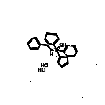 Cl.Cl.[SiH2]=[Ti]([PH]Cc1ccccc1)([C]1=CC=CC1)([c]1ccccc1)[c]1ccccc1